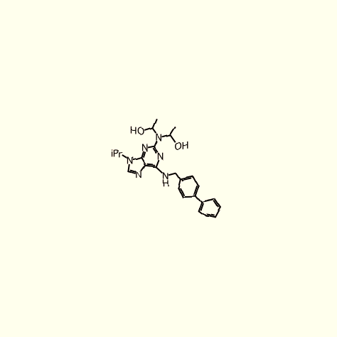 CC(O)N(c1nc(NCc2ccc(-c3ccccc3)cc2)c2ncn(C(C)C)c2n1)C(C)O